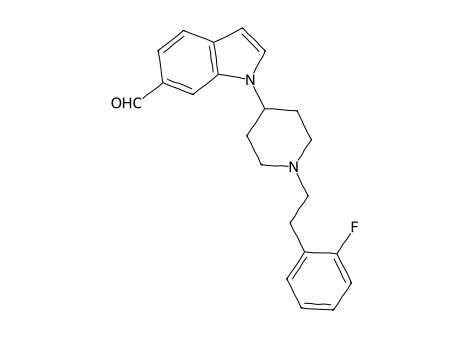 O=Cc1ccc2ccn(C3CCN(CCc4ccccc4F)CC3)c2c1